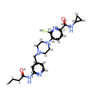 CCCC(=O)Nc1cc(CN2CCN(c3ccc(C(=O)NC4CC4)nc3F)CC2)ccn1